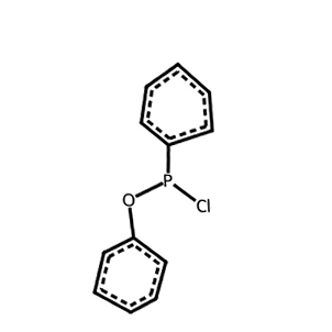 ClP(Oc1ccccc1)c1ccccc1